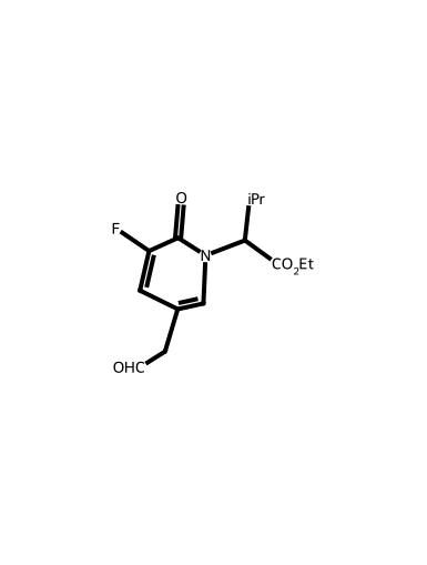 CCOC(=O)C(C(C)C)n1cc(CC=O)cc(F)c1=O